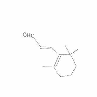 CC1=C(/C=C/C=O)C(C)(C)CCC1